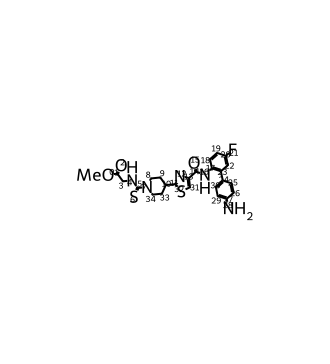 COC(=O)CNC(=S)N1CCC(c2nc(C(=O)Nc3ccc(F)cc3-c3ccc(N)cc3)cs2)CC1